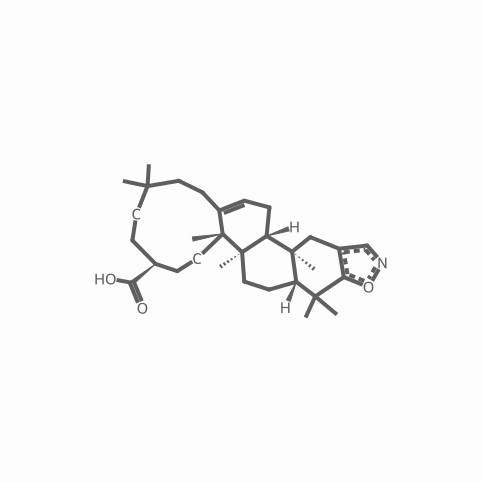 CC1(C)CCC2=CC[C@@H]3[C@@]4(C)Cc5cnoc5C(C)(C)[C@@H]4CC[C@@]3(C)[C@]2(C)CC[C@@H](C(=O)O)CC1